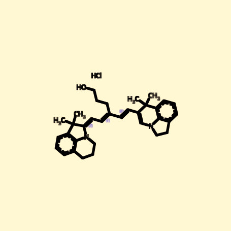 CC1(C)C(/C=C/C(=C/C=C2\N3CCCc4cccc(c43)C2(C)C)CCCO)=CN2CCc3cccc1c32.Cl